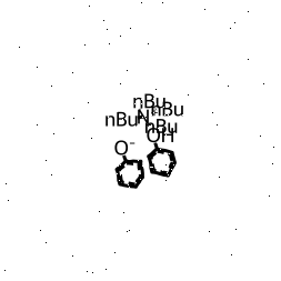 CCCC[N+](CCCC)(CCCC)CCCC.Oc1ccccc1.[O-]c1ccccc1